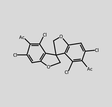 CC(=O)c1c(Cl)cc2c(c1Cl)C1(CO2)COc2cc(Cl)c(C(C)=O)c(Cl)c21